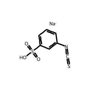 O=S(=O)(O)c1cccc(N=C=S)c1.[Na]